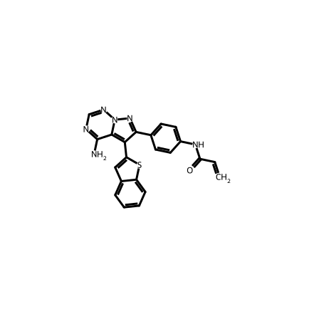 C=CC(=O)Nc1ccc(-c2nn3ncnc(N)c3c2-c2cc3ccccc3s2)cc1